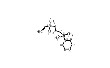 C=C[Si](C)(C)CCC[Si](C)(C)N1CCOCC1